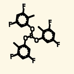 Cc1c(F)cc(F)cc1OB(Oc1cc(F)cc(F)c1C)Oc1cc(F)cc(F)c1C